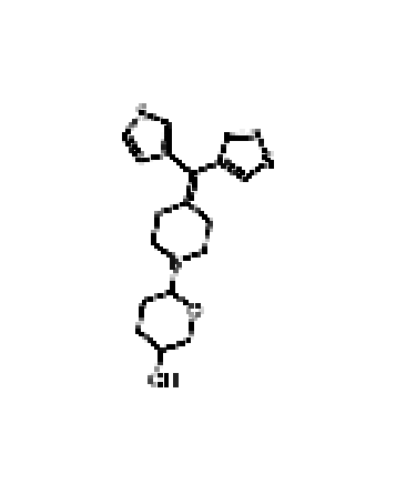 OC1CCC(N2CCC(=C(c3ccsc3)c3ccsc3)CC2)OC1